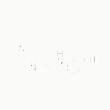 Cc1ccc2cc(SCc3cc(N4CCCCC4)ccn3)[nH]c2c1